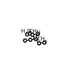 Cc1c(-c2cccc(-c3ccccc3)c2)cc(-c2ccc(-c3ccccc3)cc2)nc1-c1ccncc1-c1ccc2c(c1)C(C)(C)C1=C2CCCC1